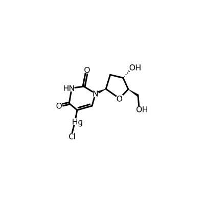 O=c1[nH]c(=O)n([C@H]2C[C@H](O)[C@@H](CO)O2)c[c]1[Hg][Cl]